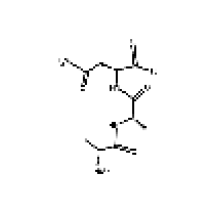 CCC(=O)[C@H](CC(N)=O)NC(=O)[C@@H](C)NC(=O)[C@@H](C)NC